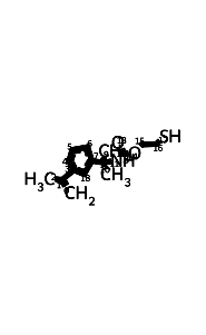 C=C(C)c1cccc(C(C)(C)NC(=O)OCCS)c1